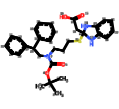 CC(C)(C)OC(=O)N(CCCSC1(CC(=O)O)Nc2ccccc2N1)CC(c1ccccc1)c1ccccc1